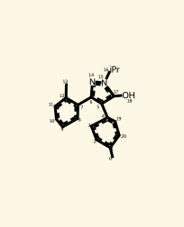 Cc1ccc(-c2c(-c3ccccc3C)nn(C(C)C)c2O)cc1